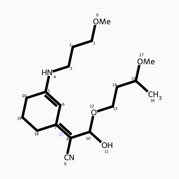 COCCCNC1=C/C(=C(/C#N)C(O)OCCC(C)OC)CCC1